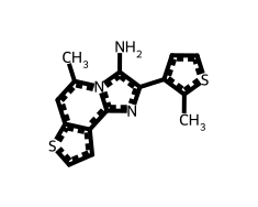 Cc1sccc1-c1nc2c3ccsc3cc(C)n2c1N